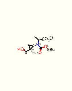 CCOC(=O)[C@H](C)N(C(=O)OC(C)(C)C)[C@H]1C[C@]1(C)CO